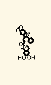 CC1c2cc(O)c(O)cc2CCN1C(=O)C=Cc1c(-c2ccccc2)n(C)c2cc3c(cc12)OCO3